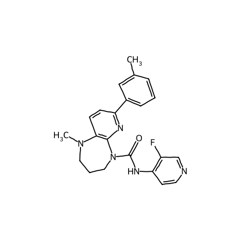 Cc1cccc(-c2ccc3c(n2)N(C(=O)Nc2ccncc2F)CCCN3C)c1